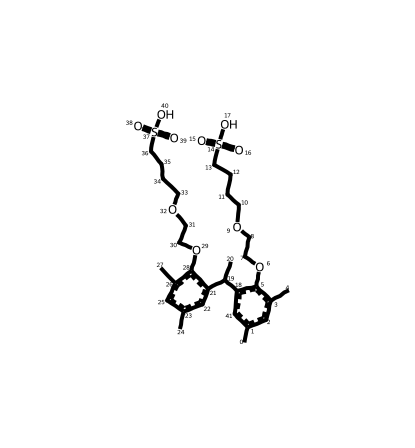 Cc1cc(C)c(OCCOCCCCS(=O)(=O)O)c(C(C)c2cc(C)cc(C)c2OCCOCCCCS(=O)(=O)O)c1